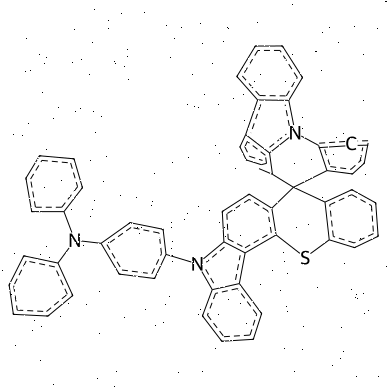 c1ccc(N(c2ccccc2)c2ccc(-n3c4ccccc4c4c5c(ccc43)C3(c4ccccc4S5)c4ccccc4-n4c5ccccc5c5cccc3c54)cc2)cc1